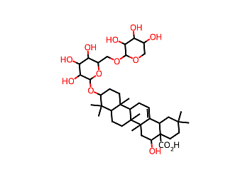 CC1(C)CCC2(C(=O)O)C(O)CC3(C)C(=CCC4C5(C)CCC(OC6OC(COC7OCC(O)C(O)C7O)C(O)C(O)C6O)C(C)(C)C5CCC43C)C2C1